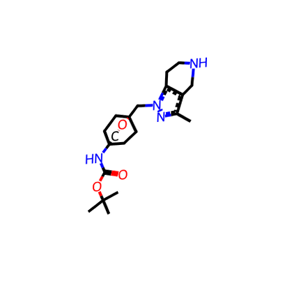 Cc1nn(CC23CCC(NC(=O)OC(C)(C)C)(CC2)CO3)c2c1CNCC2